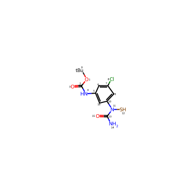 CC(C)(C)OC(=O)Nc1cc(Cl)cc(N(S)C(N)=O)c1